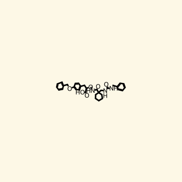 O=C(NCc1ccccc1)NCC1(C(=O)NOC(Cc2ccc(OCc3ccccc3)cc2)C(=O)O)CCCCC1